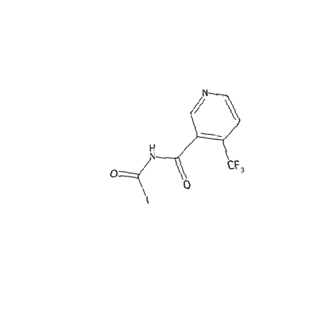 O=C(I)NC(=O)c1cnccc1C(F)(F)F